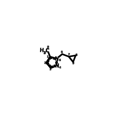 Cc1[c]cnn1CC1CC1